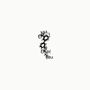 CC(C)(C)CCNC(=O)Oc1cccc(-c2cccc(C(N)=O)c2)c1